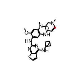 C=CC(=O)Nc1cc(Nc2nc(NC34CC(C3)C4)c3ccsc3n2)c(OC)cc1N(C)CCN(C)C